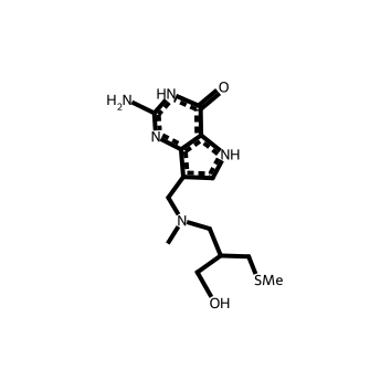 CSCC(CO)CN(C)Cc1c[nH]c2c(=O)[nH]c(N)nc12